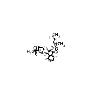 CNCCN(C)C(=O)OC1=C(C[C@H]2CC[C@H](C(C)(C)C)CC2)C(=O)c2ccccc2C1=O